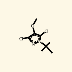 COc1c(Cl)nn(C(C)(C)C)c1Cl